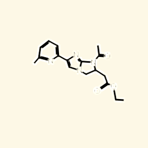 CCOC(=O)CC1Cn2cc(-c3cccc(C)n3)nc2N1C(C)=O